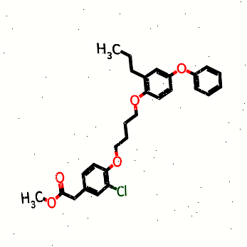 CCCc1cc(Oc2ccccc2)ccc1OCCCCOc1ccc(CC(=O)OC)cc1Cl